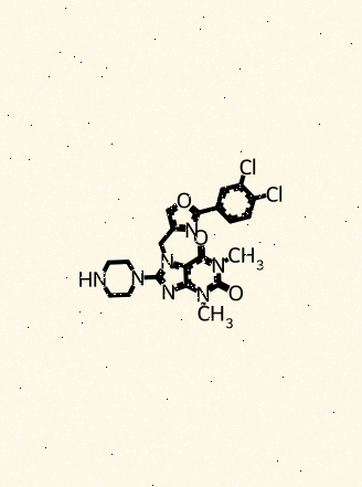 Cn1c(=O)c2c(nc(N3CCNCC3)n2Cc2coc(-c3ccc(Cl)c(Cl)c3)n2)n(C)c1=O